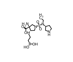 CCN([C@H]1CCNC1)S(=O)(=O)N1C[C@H](CCCB(O)O)[C@](N)(C(=O)O)C1